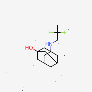 CC(F)(F)CNC12CC3CC(CC(O)(C3)C1)C2